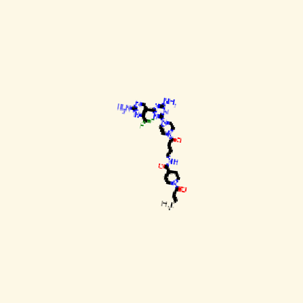 C/C=C/C(=O)N1CCC(C(=O)NCCCC(=O)N2CCN(c3nc(N)nc(-c4cnc(N)nc4C(F)F)n3)CC2)CC1